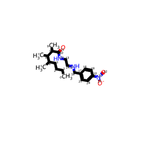 CCCCC(C)C(C)C(C)C(=O)NCCNCc1ccc([N+](=O)[O-])cc1